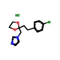 Brc1ccc(CCC2(Cn3ccnc3)OCCO2)cc1.Cl